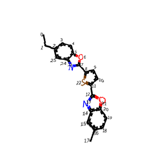 CCc1ccc2oc(-c3ccc(-c4nc5cc(C)ccc5o4)s3)nc2c1